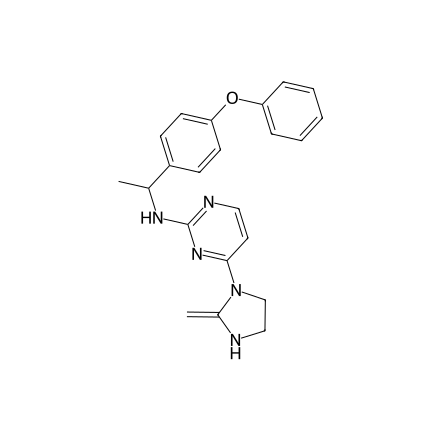 C=C1NCCN1c1ccnc(NC(C)c2ccc(Oc3ccccc3)cc2)n1